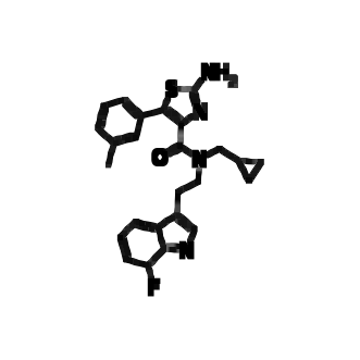 Cc1cccc(-c2sc(N)nc2C(=O)N(CCC2=CN=C3C2=CC=CC3F)CC2CC2)c1